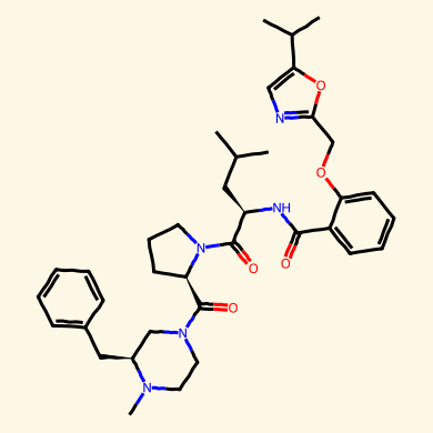 CC(C)C[C@@H](NC(=O)c1ccccc1OCc1ncc(C(C)C)o1)C(=O)N1CCC[C@@H]1C(=O)N1CCN(C)[C@@H](Cc2ccccc2)C1